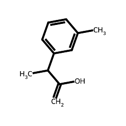 C=C(O)C(C)c1cccc(C)c1